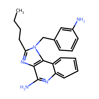 CCCCc1nc2c(N)nc3ccccc3c2n1Cc1cccc(N)c1